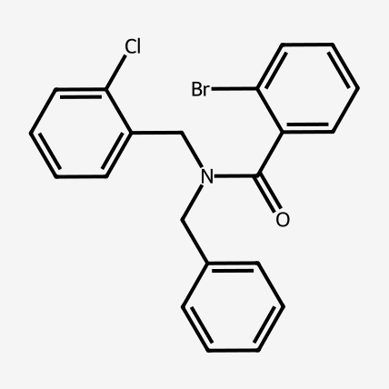 O=C(c1ccccc1Br)N(Cc1ccccc1)Cc1ccccc1Cl